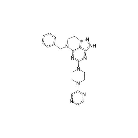 c1ccc(CN2CCc3n[nH]c4nc(N5CCN(c6cnccn6)CC5)nc2c34)cc1